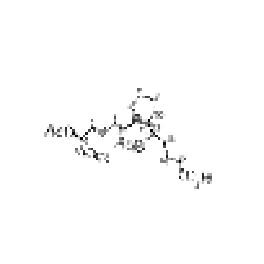 CCCCCCCCC(C=CC=C[C@H]1CCCC[C@H]1C(CCCC(=O)O)OC(C)=O)OC(C)=O